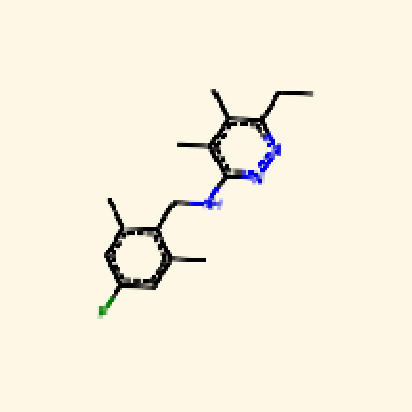 CCc1nnc(NCc2c(C)cc(F)cc2C)c(C)c1C